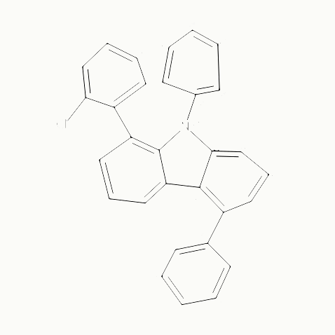 Clc1ccccc1-c1cccc2c3c(-c4ccccc4)cccc3n(-c3ccccc3)c12